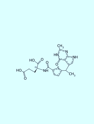 Cc1nc2[nH]cc(C(C)c3ccc(C(=O)N[C@@H](CCC(=O)O)C(=O)O)s3)c2c(=O)[nH]1